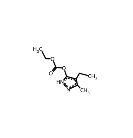 CCOC(=O)Oc1[nH]nc(C)c1CC